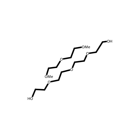 COCCOCCOC.OCCOCCOCCOCCO